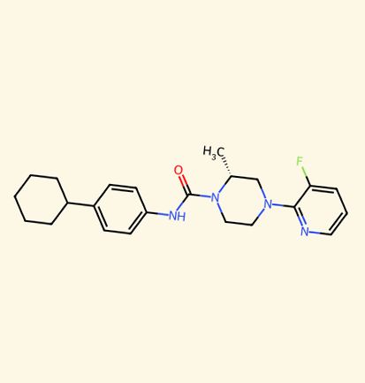 C[C@@H]1CN(c2ncccc2F)CCN1C(=O)Nc1ccc(C2CCCCC2)cc1